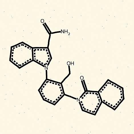 NC(=O)c1cn(-c2cccc(-n3ccc4ccccc4c3=O)c2CO)c2ccccc12